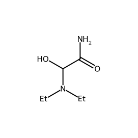 CCN(CC)C(O)C(N)=O